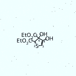 CCOC(=O)C1SC=C(O)C1(O)C(=O)OCC